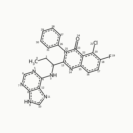 CCC(Nc1ncnc2[nH]cnc12)c1nc2ccc(F)c(Cl)c2c(=O)n1-c1ccccc1